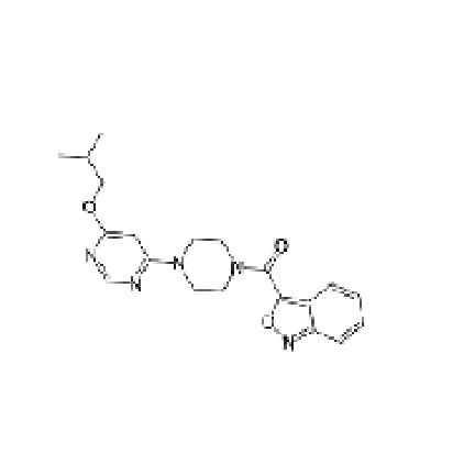 CC(C)COc1cc(N2CCN(C(=O)c3onc4ccccc34)CC2)ncn1